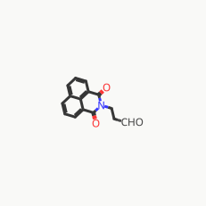 O=CCCN1C(=O)c2cccc3cccc(c23)C1=O